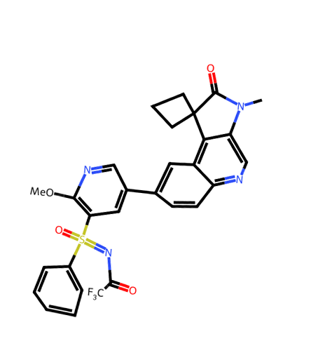 COc1ncc(-c2ccc3ncc4c(c3c2)C2(CCC2)C(=O)N4C)cc1S(=O)(=NC(=O)C(F)(F)F)c1ccccc1